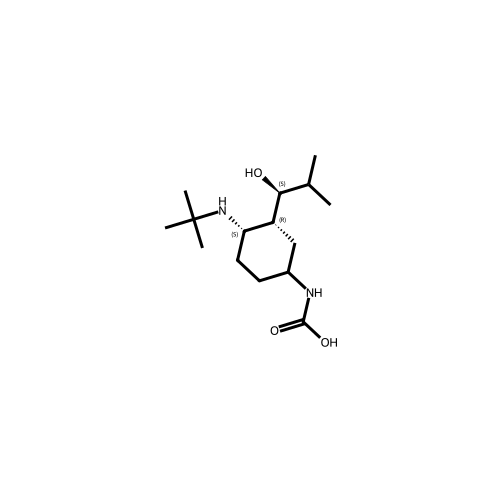 CC(C)[C@H](O)[C@@H]1CC(NC(=O)O)CC[C@@H]1NC(C)(C)C